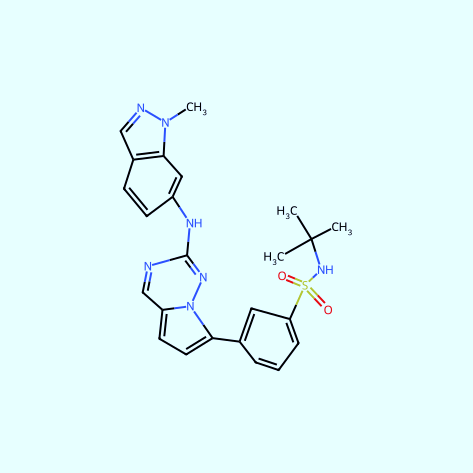 Cn1ncc2ccc(Nc3ncc4ccc(-c5cccc(S(=O)(=O)NC(C)(C)C)c5)n4n3)cc21